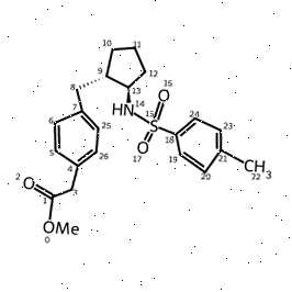 COC(=O)Cc1ccc(C[C@@H]2CCC[C@H]2NS(=O)(=O)c2ccc(C)cc2)cc1